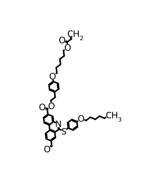 C=CC(=O)OCCCCCCOc1ccc(CCOC(=O)c2ccc3c(c2)nc(Sc2ccc(OCCCCCC)cc2)c2cc(C=O)ccc23)cc1